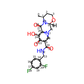 C[C@H]1CCO[C@@H]2Cn3cc(C(=O)NCc4ccc(F)cc4F)c(=O)c(O)c3C(=O)N12